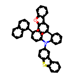 c1ccc(N(c2ccc(-c3cccc4ccccc34)cc2)c2ccc3sc4ccccc4c3c2)c(-c2ccc3oc4ccccc4c3c2)c1